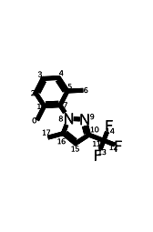 Cc1cccc(C)c1-n1nc(C(F)(F)F)cc1C